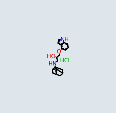 Cl.O[C@H](CNC1C2CC3CC(C2)CC1C3)COc1cccc2[nH]ccc12